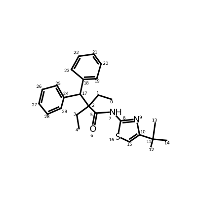 CCC(CC)(C(=O)Nc1nc(C(C)(C)C)cs1)C(c1ccccc1)c1ccccc1